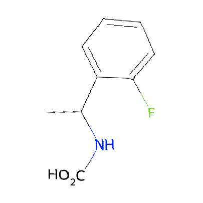 CC(NC(=O)O)c1ccccc1F